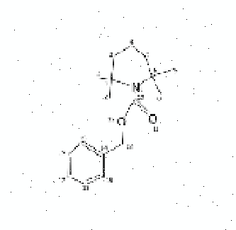 CC1(C)CCCC(C)(C)N1C(=O)OCc1ccccc1